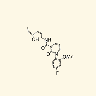 C/C=C(O)\C=C/CNC(=O)c1cccn(-c2ccc(F)cc2OC)c1=O